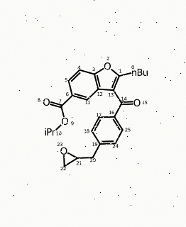 CCCCc1oc2ccc(C(=O)OC(C)C)cc2c1C(=O)c1ccc(CC2CO2)cc1